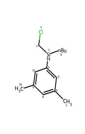 CCCC[SiH](CCl)c1cc(C)cc(C)c1